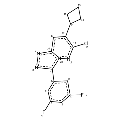 Fc1cc(F)cc(-c2nnc3cc(C4CCC4)c(Cl)nn23)c1